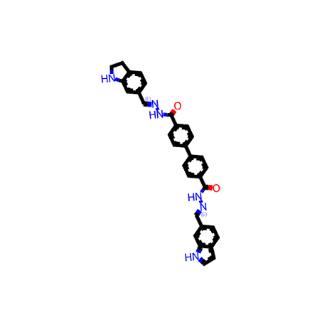 O=C(N/N=C/c1ccc2c(c1)NCC2)c1ccc(-c2ccc(C(=O)N/N=C/c3ccc4cc[nH]c4c3)cc2)cc1